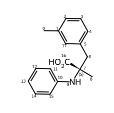 Cc1cccc(C[C@](C)(Nc2ccccc2)C(=O)O)c1